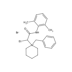 CCC(C(=O)Nc1c(C)cccc1C)[N+]1(Cc2ccccc2)CCCCC1.[Br-]